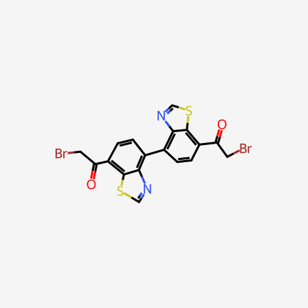 O=C(CBr)c1ccc(-c2ccc(C(=O)CBr)c3scnc23)c2ncsc12